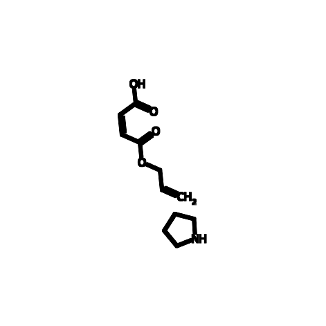 C1CCNC1.C=CCOC(=O)/C=C\C(=O)O